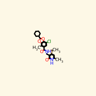 CSc1cc(C)[nH]c(=O)c1CNC(=O)c1cc(Cl)c2c(c1C)OC(C1CCCCC1)O2